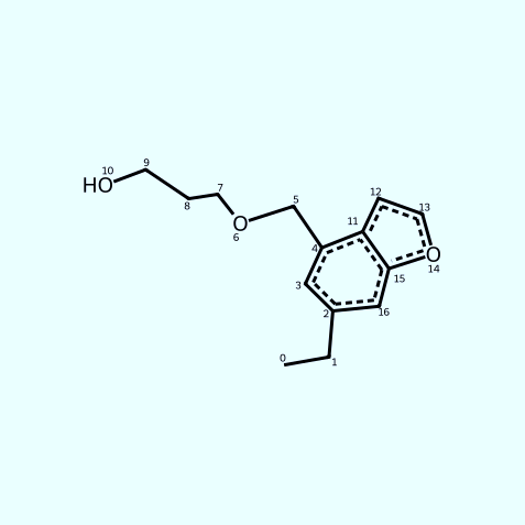 CCc1cc(COCCCO)c2ccoc2c1